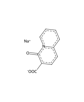 O=C([O-])c1ccc2ccccn2c1=O.[Na+]